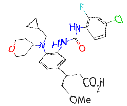 COCC(CC(=O)O)c1ccc(N(CC2CC2)C2CCOCC2)c(NC(=O)Nc2ccc(Cl)cc2F)c1